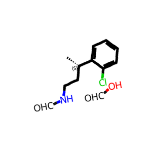 C[C@@H](CCNC=O)c1ccccc1Cl.O=CO